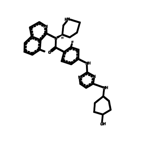 Cc1cccc2ccnc(N(C(=O)c3ccc(Nc4nccc(NC5CCC(O)CC5)n4)cc3F)[C@@H]3CCCNC3)c12